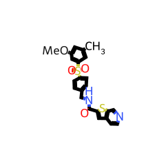 COc1cc(C)cc(S(=O)(=O)c2ccc(CNC(=O)c3cc4ccncc4s3)cc2)c1